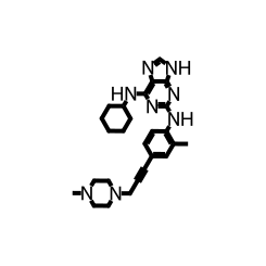 Cc1cc(C#CCN2CCN(C)CC2)ccc1Nc1nc(NC2CCCCC2)c2nc[nH]c2n1